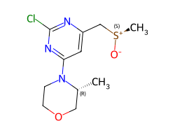 C[C@@H]1COCCN1c1cc(C[S@@+](C)[O-])nc(Cl)n1